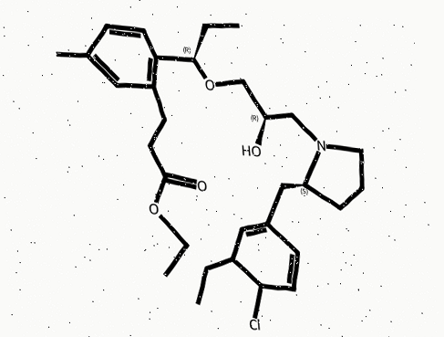 CCOC(=O)CCc1cc(C)ccc1[C@@H](CC)OC[C@H](O)CN1CCC[C@H]1CC1=CC(CC)C(Cl)C=C1